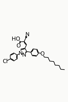 CCCCCCCCOc1ccc(-c2nn(-c3ccc(Cl)cc3)cc2/C=C(/C#N)C(=O)O)cc1